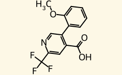 COc1ccccc1-c1cnc(C(F)(F)F)cc1C(=O)O